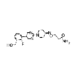 NC(=O)CCO/N=C1\C=CN(c2ncc(-c3cccc(CO)c3F)cn2)CC1